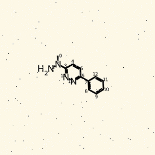 CN(N)c1ccc(-c2ccccc2)nn1